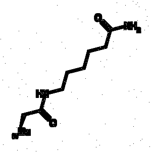 CC[C@H](C)CC(=O)NCCCCCC(N)=O